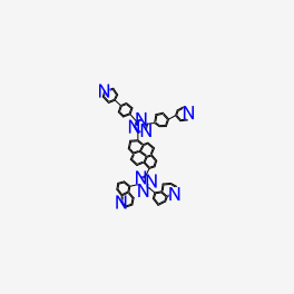 c1cc(-c2nc(-c3cccc4ncccc34)nc(-c3ccc4ccc5c(-c6nc(-c7ccc(-c8ccncc8)cc7)nc(-c7ccc(-c8ccncc8)cc7)n6)ccc6ccc3c4c65)n2)c2cccnc2c1